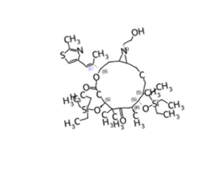 CC[Si](CC)(CC)O[C@H]1[C@@H](C)CCCC2C(C[C@@H](/C(C)=C/c3csc(C)n3)OC(=O)C[C@H](O[Si](CC)(CC)CC)C(C)(C)C(=O)[C@@H]1C)[N@]2CCO